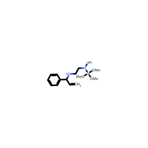 C=CC(NCCN(CCC)[Si](OC)(OC)OC)c1ccccc1